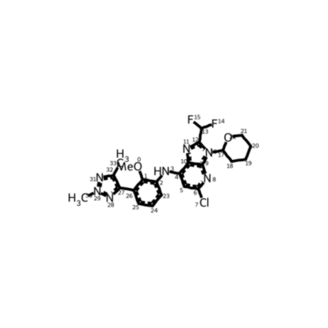 COc1c(Nc2cc(Cl)nc3c2nc(C(F)F)n3C2CCCCO2)cccc1-c1nn(C)nc1C